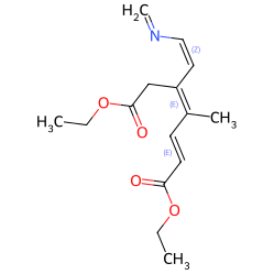 C=N\C=C/C(CC(=O)OCC)=C(C)/C=C/C(=O)OCC